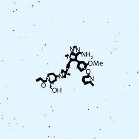 C=CC(=O)N1CCC(N2CC(C)(C#Cc3c(-c4ccc(Oc5cccc(C)n5)c(OC)c4)c4c(N)ncnc4n3C)C2)C[C@H]1CO